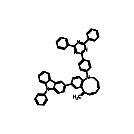 C=C1/C=C\C=C/CN(c2ccc(-c3nc(-c4ccccc4)nc(-c4ccccc4)n3)cc2)c2ccc(-c3ccc4c(c3)c3ccccc3n4-c3ccccc3)cc21